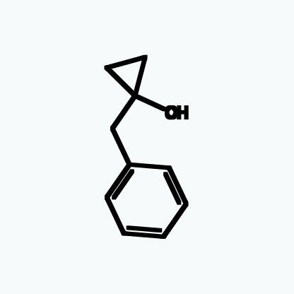 OC1(Cc2ccccc2)CC1